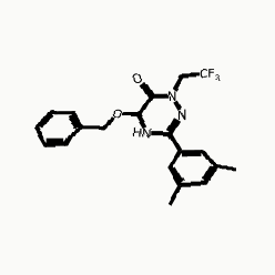 Cc1cc(C)cc(C2=NN(CC(F)(F)F)C(=O)C(OCc3ccccc3)N2)c1